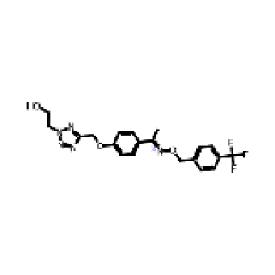 C/C(=N\OCc1ccc(C(F)(F)F)cc1)c1ccc(OCc2nnn(CCO)n2)cc1